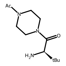 CC(=O)N1CCN(C(=O)[C@H](N)C(C)(C)C)CC1